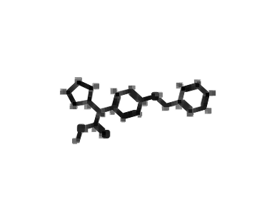 COC(=O)C(c1ccc(OCc2ccccc2)cc1)C1CCCC1